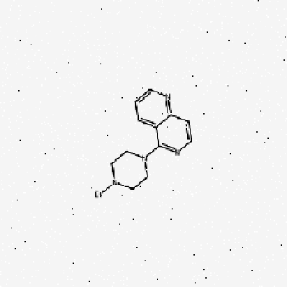 CCN1CCN(c2nccc3ncccc23)CC1